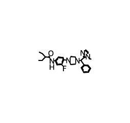 CCC(CC)C(=O)Nc1ccc(N2CCN(C(c3ccccc3)c3nccn3C)CC2)c(F)c1